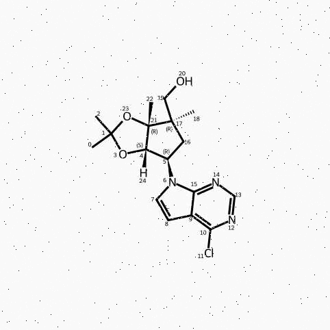 CC1(C)O[C@H]2[C@H](n3ccc4c(Cl)ncnc43)C[C@](C)(CO)[C@@]2(C)O1